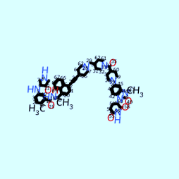 Cc1ccc(N[C@H]2CNC[C@@H]2O)cc1C(=O)N[C@H](C)c1ccc(C#CC2CCN(CC3CCN(C(=O)C4CCN(c5ccc6c(c5)n(C)c(=O)n6C5CCC(=O)NC5=O)CC4)CC3)CC2)c2ccccc12